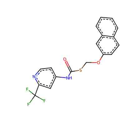 O=C(Nc1ccnc(C(F)(F)F)c1)SCOc1ccc2ccccc2c1